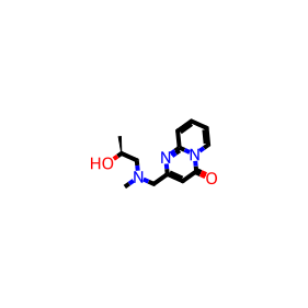 C[C@H](O)CN(C)Cc1cc(=O)n2ccccc2n1